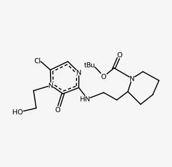 CC(C)(C)OC(=O)N1CCCCC1CCNc1ncc(Cl)n(CCO)c1=O